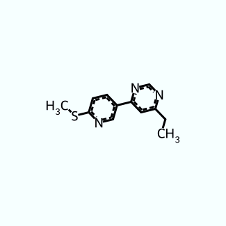 CCc1cc(-c2ccc(SC)nc2)ncn1